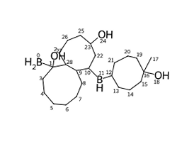 BC1(O)CCCCCCC2C(BC3CCCC(C)(O)CCC3)CC(O)CCCC21